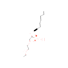 CCCCCCC#COC(COCCOCC)S(=O)(=O)O